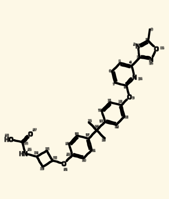 Cc1nc(-c2cccc(Oc3ccc(C(C)(C)c4ccc(OC5CC(NC(=O)O)C5)cc4)cc3)n2)no1